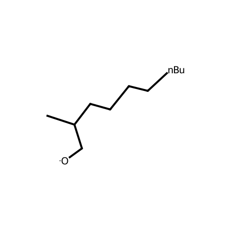 CCCCCCCCC(C)C[O]